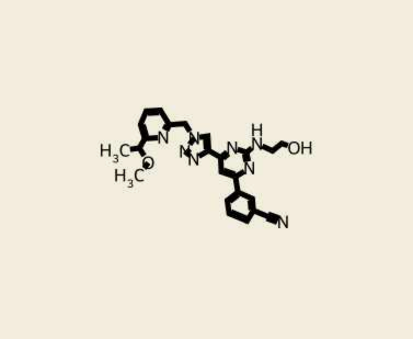 COC(C)c1cccc(Cn2cc(-c3cc(-c4cccc(C#N)c4)nc(NCCO)n3)nn2)n1